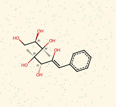 C[C@@](O)([C@H](O)CO)[C@](C)(O)[C@@H](O)C(O)=Cc1ccccc1